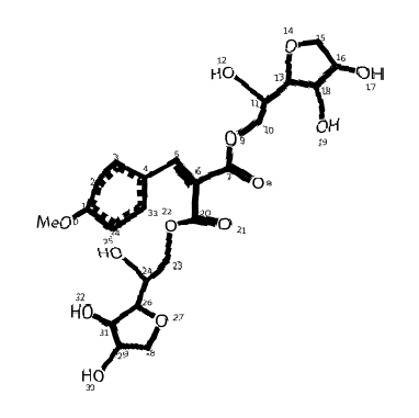 COc1ccc(C=C(C(=O)OCC(O)C2OCC(O)C2O)C(=O)OCC(O)C2OCC(O)C2O)cc1